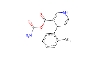 NC(=O)OC(=O)C1=CNC=CC1c1ccccc1[N+](=O)[O-]